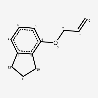 C=CCOc1cccc2c1CCC2